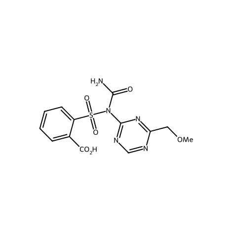 COCc1ncnc(N(C(N)=O)S(=O)(=O)c2ccccc2C(=O)O)n1